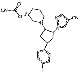 N#Cc1cnn(C2CC(c3ccc(F)cc3)CC2N2CCC[C@@H](OC(N)=O)C2)c1